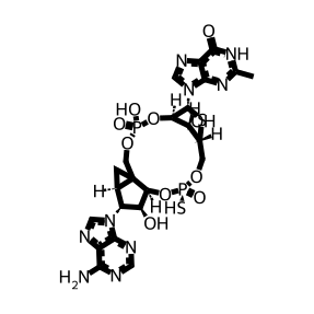 Cc1nc2c(ncn2[C@@H]2S[C@@H]3CO[P@@](=O)(S)O[C@H]4[C@@H](O)[C@H](n5cnc6c(N)ncnc65)[C@H]5CC54COP(=O)(O)O[C@@H]2[C@@H]3O)c(=O)[nH]1